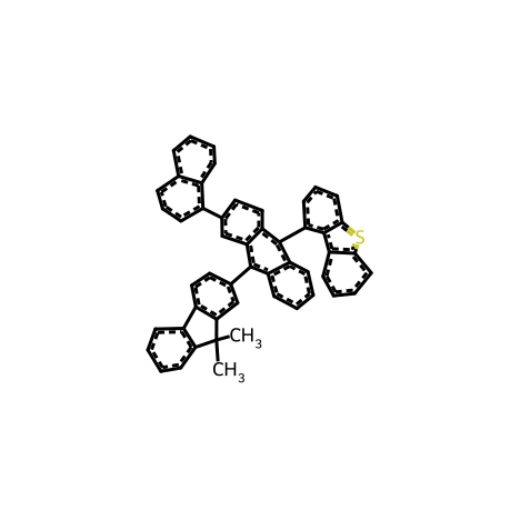 CC1(C)c2ccccc2-c2ccc(-c3c4ccccc4c(-c4cccc5sc6ccccc6c45)c4ccc(-c5cccc6ccccc56)cc34)cc21